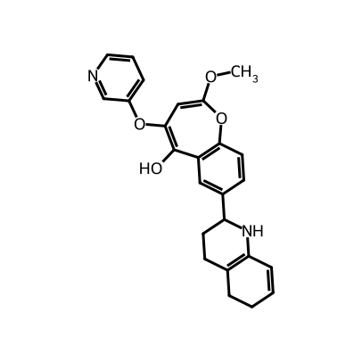 COC1=CC(Oc2cccnc2)=C(O)c2cc(C3CCC4=C(C=CCC4)N3)ccc2O1